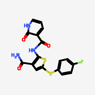 NC(=O)c1cc(Sc2ccc(F)cc2)sc1NC(=O)c1ccc[nH]c1=O